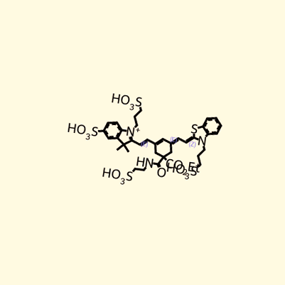 CCOC(=O)C1(C(=O)NCCS(=O)(=O)O)CC(/C=C/C2=[N+](CCCS(=O)(=O)O)c3ccc(S(=O)(=O)O)cc3C2(C)C)=CC(=C/C=C2\Sc3ccccc3N2CCCS(=O)(=O)O)/C1